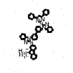 CC1(C)c2ccccc2-c2ccc(-n3c4ccc(-c5ccc6c(c5)n5c7ccccc7nc5n6-c5nc(-c6ccccc6)cc(-c6ccccc6)n5)cc4n4c5ccccc5nc34)cc21